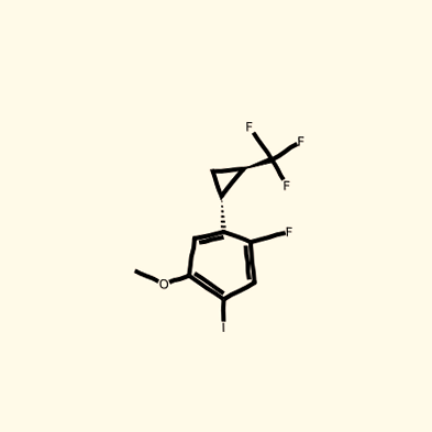 COc1cc([C@@H]2C[C@H]2C(F)(F)F)c(F)cc1I